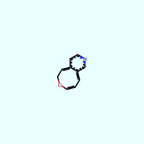 C1=COCC=c2ccncc2=C1